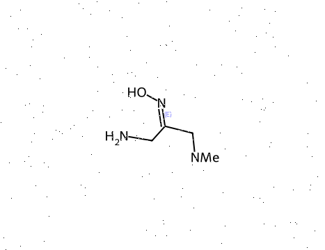 CNC/C(CN)=N/O